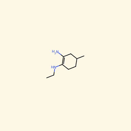 CCNC1=C(N)CC(C)CC1